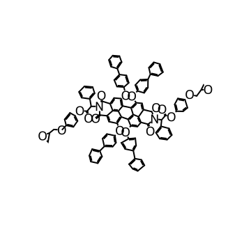 O=C(Oc1ccc(OCC2CO2)cc1)C(c1ccccc1)N1C(=O)c2cc(Oc3ccc(-c4ccccc4)cc3)c3c4c(Oc5ccc(-c6ccccc6)cc5)cc5c6c(cc(Oc7ccc(-c8ccccc8)cc7)c(c7c(Oc8ccc(-c9ccccc9)cc8)cc(c2c37)C1=O)c64)C(=O)N(C(C(=O)Oc1ccc(OCC2CO2)cc1)c1ccccc1)C5=O